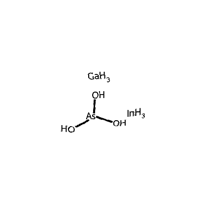 O[As](O)O.[GaH3].[InH3]